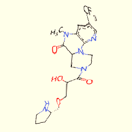 CN1C(=O)C2CN(C(=O)C(O)COC[C@@H]3CCCN3)CCN2c2ncc(C(F)(F)F)cc21